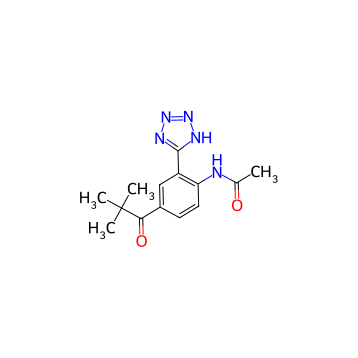 CC(=O)Nc1ccc(C(=O)C(C)(C)C)cc1-c1nnn[nH]1